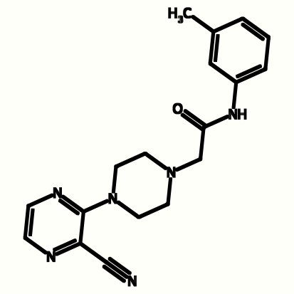 Cc1cccc(NC(=O)CN2CCN(c3nccnc3C#N)CC2)c1